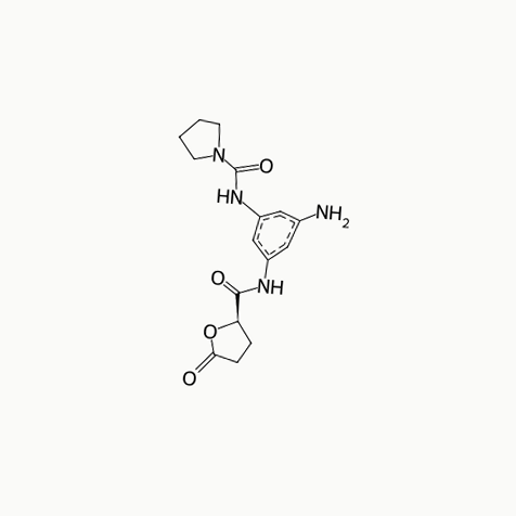 Nc1cc(NC(=O)[C@H]2CCC(=O)O2)cc(NC(=O)N2CCCC2)c1